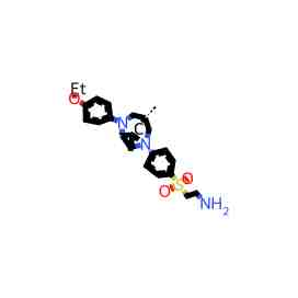 CCOc1ccc(N2C[C@@]3(C)CN(c4ccc(S(=O)(=O)CCN)cc4)CC2C(C)(C)C3)cc1